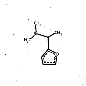 C[CH](c1ccco1)[Bi]([CH3])[CH3]